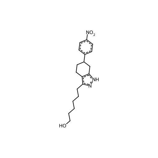 O=[N+]([O-])c1ccc(C2CCc3c(CCCCCCO)n[nH]c3C2)cc1